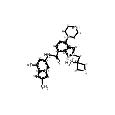 Cc1cn2cc(NC(=O)c3ccc(N4CCNCC4)c4cn(CC5(C)COC5)nc34)cc(F)c2n1